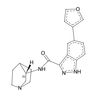 O=C(N[C@@H]1CN2CCC1CC2)c1n[nH]c2ccc(-c3ccoc3)cc12